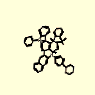 CC1(C)C2=CC3(C)C4=C(C5(C)C(=CC4(C)c4cc6ccccc6cc4N3c3ccc(C4CCCCC4)cc3)N(c3ccccc3)c3ccccc35)C2(C)c2ccccc21